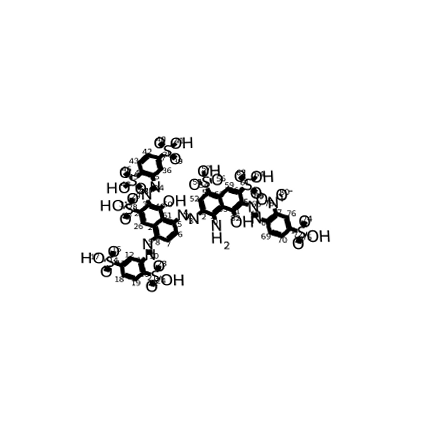 Nc1c(N=Nc2ccc(N=Nc3cc(S(=O)(=O)O)ccc3S(=O)(=O)O)c3cc(S(=O)(=O)O)c(N=Nc4cc(S(=O)(=O)O)ccc4S(=O)(=O)O)c(O)c23)cc(S(=O)(=O)O)c2cc(S(=O)(=O)O)c(N=Nc3ccc(S(=O)(=O)O)cc3[N+](=O)[O-])c(O)c12